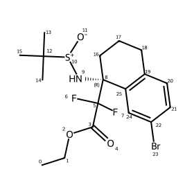 CCOC(=O)C(F)(F)[C@@]1(N[S+]([O-])C(C)(C)C)CCCc2ccc(Br)cc21